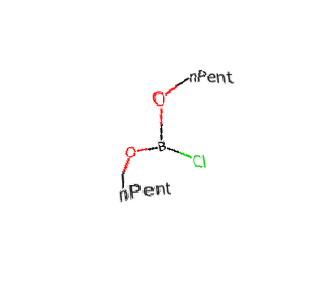 CCCCCOB(Cl)OCCCCC